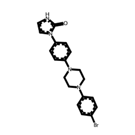 O=c1[nH]ccn1-c1ccc(N2CCN(c3ccc(Br)cc3)CC2)cc1